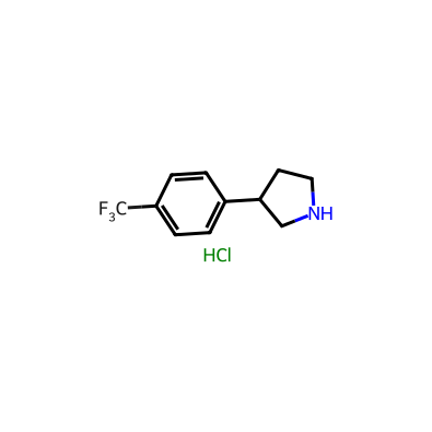 Cl.FC(F)(F)c1ccc(C2CCNC2)cc1